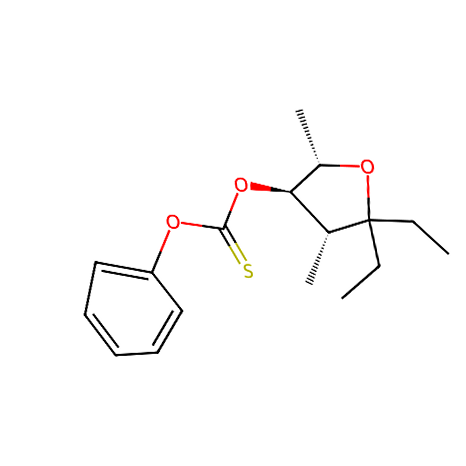 CCC1(CC)O[C@@H](C)[C@H](OC(=S)Oc2ccccc2)[C@H]1C